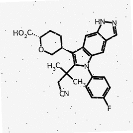 CC(C)(CC#N)c1c([C@@H]2CC[C@@H](C(=O)O)OC2)c2cc3[nH]ncc3cc2n1-c1ccc(F)cc1